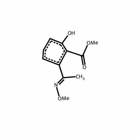 CO/N=C(\C)c1cccc(O)c1C(=O)OC